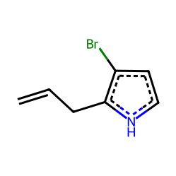 C=CCc1[nH]ccc1Br